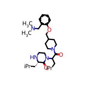 CC(C)CC(C(=O)N1CCC(COc2ccccc2CN(C)C)CC1)N1CCN[C@@H](CC(C)C)C1=O